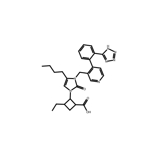 CCCCc1cn(C2C(CC)CC2C(=O)O)c(=O)n1Cc1cnccc1-c1ccccc1-c1nnn[nH]1